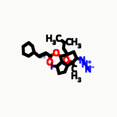 CC(C)CC12CC(N=[N+]=[N-])C(C)(O1)C1CCC(I)C1C2OC(=O)/C=C/C1CCCCC1